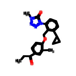 CCC(=O)c1ccc(OCc2c(C3CC3)cccc2-n2nnn(C)c2=O)c(C)c1